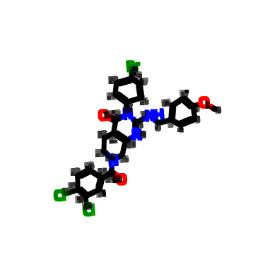 COc1ccc(CNc2nc3c(c(=O)n2-c2ccc(Br)cc2)CCN(C(=O)c2ccc(Cl)c(Cl)c2)C3)cc1